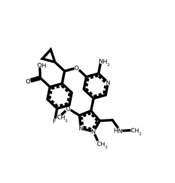 CNCc1c(-c2cnc(N)c(OC(c3ccc(F)cc3C(=O)O)C3CC3)c2)c(OC)nn1C